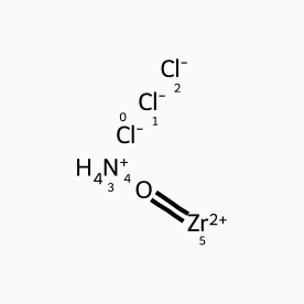 [Cl-].[Cl-].[Cl-].[NH4+].[O]=[Zr+2]